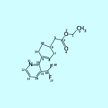 CCOC(=O)CC1CC=C(c2ncccc2C(F)F)CC1